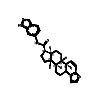 O=C(Nc1ccc2cn[nH]c2c1)[C@@H]1CC[C@H]2[C@@H]3CCC4[C@H](C=Cc5nccn54)[C@H]3CC[C@@H]21